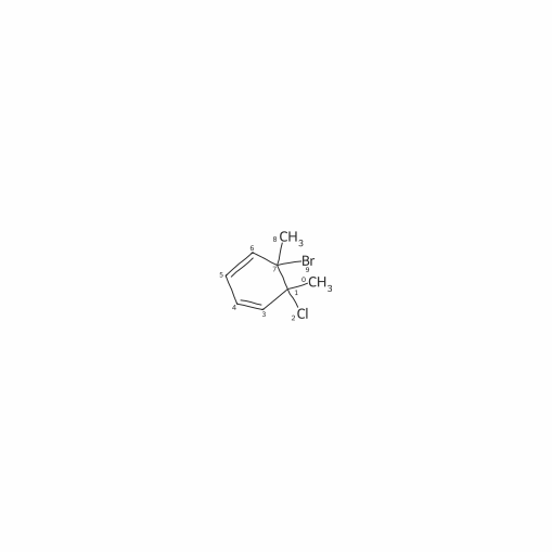 CC1(Cl)C=CC=CC1(C)Br